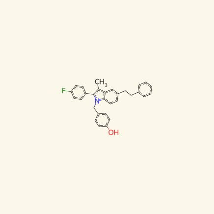 Cc1c(-c2ccc(F)cc2)n(Cc2ccc(O)cc2)c2ccc(CCc3ccccc3)cc12